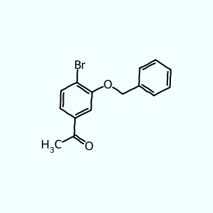 CC(=O)c1ccc(Br)c(OCc2ccccc2)c1